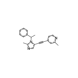 Cc1cc(C#Cc2cnc(C)n2C(C)c2ccccc2)ccn1